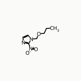 CCCOCn1ccnc1[N+](=O)[O-]